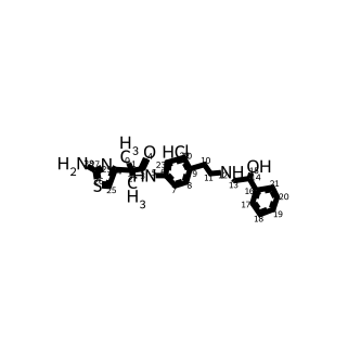 CC(C)(C(=O)Nc1ccc(CCNCC(O)c2ccccc2)cc1)c1csc(N)n1.Cl